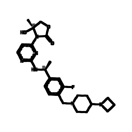 C[C@H](Nc1nccc(N2C(=O)OC[C@]2(C)O)n1)c1ccc(CN2CCC(N3CCC3)CC2)c(F)c1